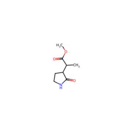 COC(=O)C(C)C1CCNC1=O